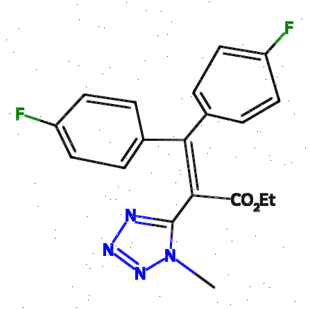 CCOC(=O)C(=C(c1ccc(F)cc1)c1ccc(F)cc1)c1nnnn1C